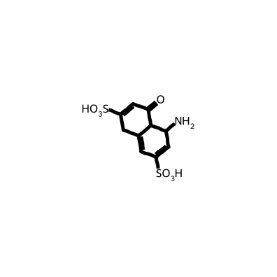 NC1C=C(S(=O)(=O)O)C=C2CC(S(=O)(=O)O)=CC(=O)C21